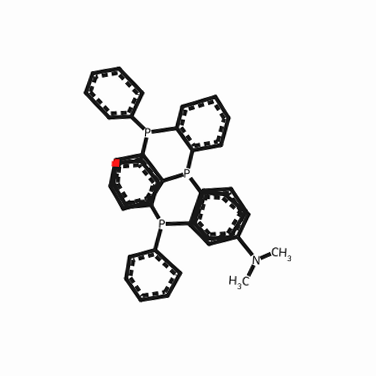 CN(C)c1ccc(P(c2ccccc2P(c2ccccc2)c2ccccc2)c2ccccc2P(c2ccccc2)c2ccccc2)cc1